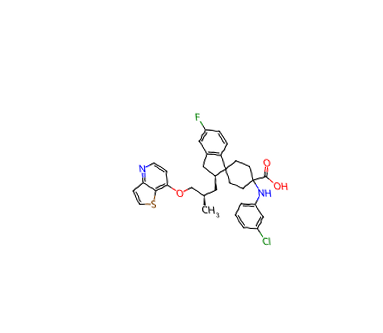 C[C@@H](COc1ccnc2ccsc12)C[C@H]1Cc2cc(F)ccc2C12CCC(Nc1cccc(Cl)c1)(C(=O)O)CC2